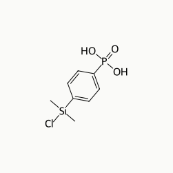 C[Si](C)(Cl)c1ccc(P(=O)(O)O)cc1